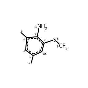 Cc1cc(C)c(N)c(SC(F)(F)F)c1